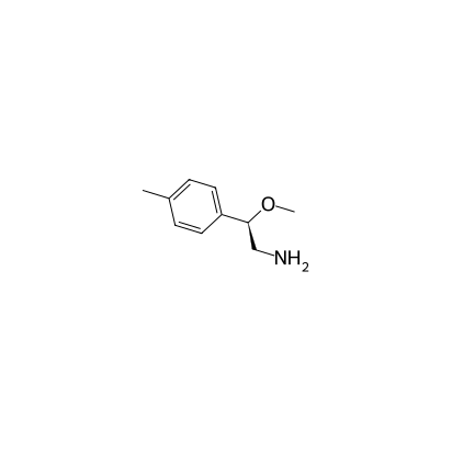 CO[C@@H](CN)c1ccc(C)cc1